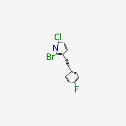 Fc1ccc(C#Cc2ccc(Cl)nc2Br)cc1